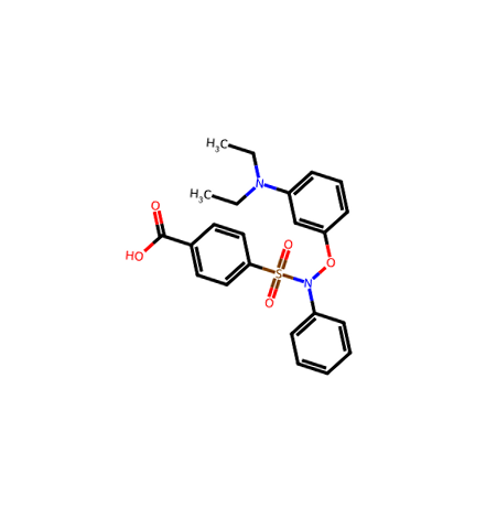 CCN(CC)c1cccc(ON(c2ccccc2)S(=O)(=O)c2ccc(C(=O)O)cc2)c1